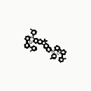 Cc1cccc(N(c2ccc3cc4c(cc3c2)C(C)(C)c2cc3cc(N(c5cccc(C)c5)c5cccc6c5oc5c(-c7ccccc7C)cccc56)ccc3cc2-4)c2cccc3c2oc2c(-c4ccccc4C)cccc23)c1